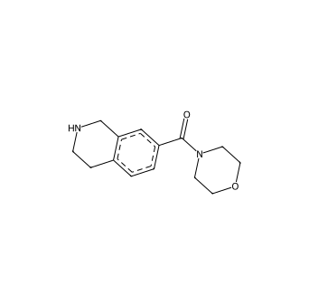 O=C(c1ccc2c(c1)CNCC2)N1CCOCC1